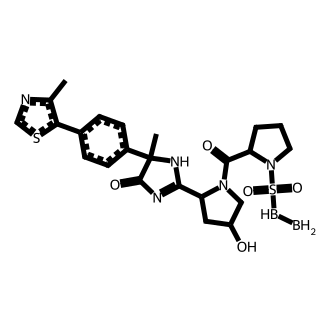 BBS(=O)(=O)N1CCCC1C(=O)N1CC(O)CC1C1=NC(=O)C(C)(c2ccc(-c3scnc3C)cc2)N1